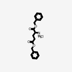 Cl.NC(CCC(=O)OCc1ccccc1)C(=O)OCc1ccccc1